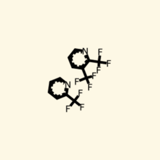 FC(F)(F)c1ccccn1.FC(F)(F)c1cccnc1C(F)(F)F